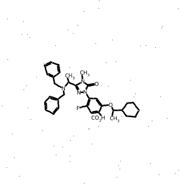 CC(Oc1cc(-n2nc(C(C)N(Cc3ccccc3)Cc3ccccc3)n(C)c2=O)c(F)cc1C(=O)O)C1CCCCC1